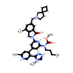 Cc1cc(-c2cc(N(CCCC#N)C(=O)OC(C)(C)C)nc(N3Cc4c(cc(CN5CCC6(CCC6)C5)cc4C(F)(F)F)C3=O)c2)c(-c2nncn2C)cn1